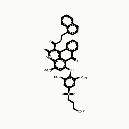 O=C(O)CCCS(=O)(=O)c1cc(S(=O)(=O)O)c(Nc2cc(S(=O)(=O)O)c3[nH]c(=O)c(C(=O)OCc4cccc5ccccc45)c4c3c2C(=O)c2ccccc2-4)c(S(=O)(=O)O)c1